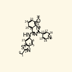 CCc1nc2ccc(Nc3nc(-c4ccncc4)nc4c(OC)cccc34)cc2s1